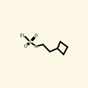 CCS(=O)(=O)[N]CCC1CCC1